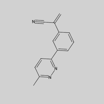 C=C(C#N)c1cccc(-c2ccc(C)nn2)c1